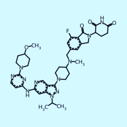 COC1CCN(c2nccc(Nc3cc4c(cn3)c(N3CCC(N(C)Cc5cc(F)c6c(c5)CN(C5CCC(=O)NC5=O)C6=O)CC3)nn4C(C)C)n2)CC1